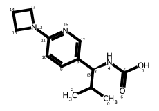 CC(C)[C@H](NC(=O)O)c1ccc(N2CCC2)nc1